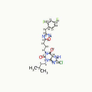 CC(C)CCn1c(=O)n(CCCc2nc(Cc3ccc(F)cc3F)no2)c(=O)c2[nH]c(Cl)nc21